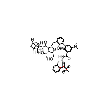 COc1c(CN2O[C@@H](CO)[C@H]([C@H](C)O)[C@H]2C(=O)N[C@H]2C[C@H]3C[C@@H]([C@@H]2C)C3(C)C)cccc1-c1cc(C(=O)N[C@@H](Cc2ccccc2NS(C)(=O)=O)CN(C)C)cc(N(C)C)c1